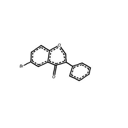 O=c1c(-c2ccccc2)coc2ccc(Br)cc12